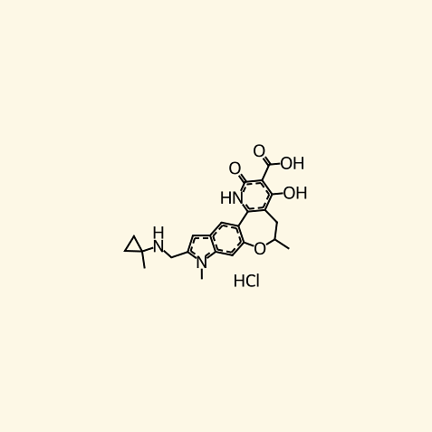 CC1Cc2c([nH]c(=O)c(C(=O)O)c2O)-c2cc3cc(CNC4(C)CC4)n(C)c3cc2O1.Cl